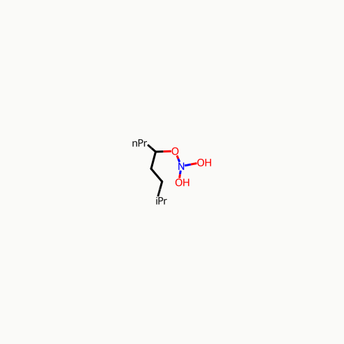 CCCC(CCC(C)C)ON(O)O